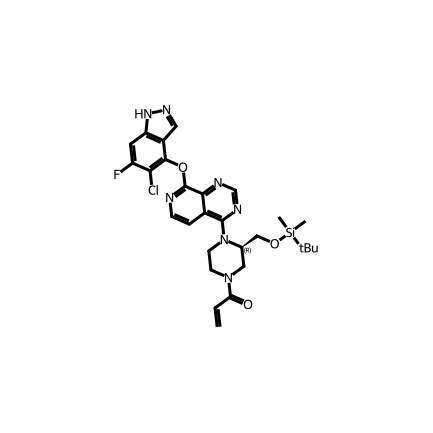 C=CC(=O)N1CCN(c2ncnc3c(Oc4c(Cl)c(F)cc5[nH]ncc45)nccc23)[C@@H](CO[Si](C)(C)C(C)(C)C)C1